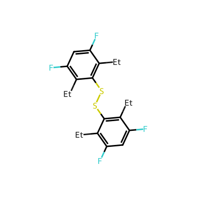 CCc1c(F)cc(F)c(CC)c1SSc1c(CC)c(F)cc(F)c1CC